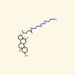 CC(CCC(=O)NCCNCCNCCN)[C@H]1CCC2C3CC[C@@H]4C[C@H](O)CC[C@]4(C)C3C[C@H](C)[C@@]21C